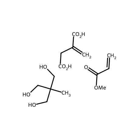 C=C(CC(=O)O)C(=O)O.C=CC(=O)OC.CC(CO)(CO)CO